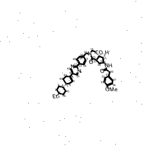 CC[C@H]1CC[C@H](C2CC=C(c3cnc(-c4ccc(CN(CC(=O)O)C(=O)C5CC[C@@H](NC(=O)Cc6ccc(OC)cc6)C5)cc4)nc3)CC2)CC1